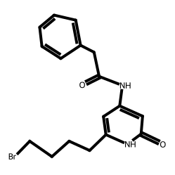 O=C(Cc1ccccc1)Nc1cc(CCCCBr)[nH]c(=O)c1